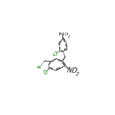 O=[N+]([O-])c1ccc(Cc2cc(CBr)c(Cl)cc2[N+](=O)[O-])c(Cl)c1